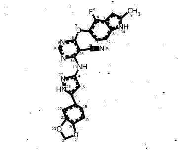 Cc1cc2c(F)c(Oc3ncnc(Nc4cc(-c5ccc6c(c5)OCO6)[nH]n4)c3C#N)ccc2[nH]1